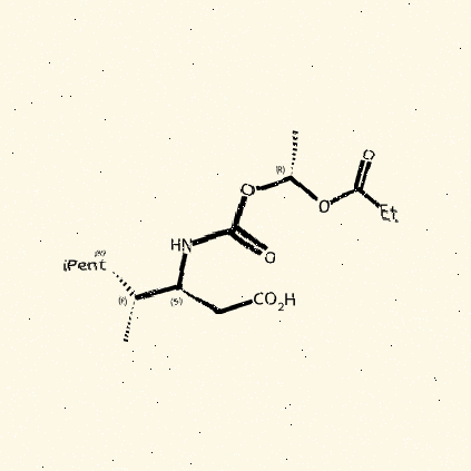 CCC[C@@H](C)[C@@H](C)[C@H](CC(=O)O)NC(=O)O[C@H](C)OC(=O)CC